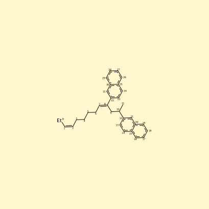 CC/C=C\CCCC/C=C(\CC(C)c1ccc2ccccc2c1)c1ccc2ccccc2c1